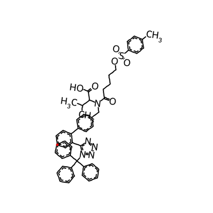 Cc1ccc(S(=O)(=O)OCCCCC(=O)N(Cc2ccc(-c3ccccc3-c3nnnn3C(c3ccccc3)(c3ccccc3)c3ccccc3)cc2)C(C(=O)O)C(C)C)cc1